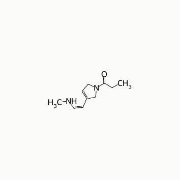 CCC(=O)N1CC=C(/C=C\NC)C1